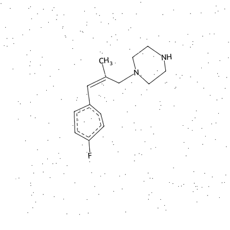 CC(=Cc1ccc(F)cc1)CN1CCNCC1